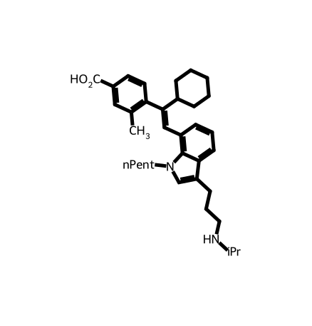 CCCCCn1cc(CCCNC(C)C)c2cccc(/C=C(/c3ccc(C(=O)O)cc3C)C3CCCCC3)c21